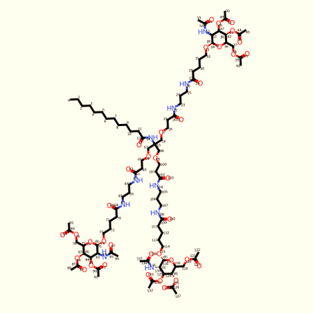 CCCCCCCCCCCCC(=O)NC(COCCC(=O)NCCCNC(=O)CCCCO[C@@H]1OC(COC(C)=O)[C@H](OC(C)=O)C(OC(C)=O)C1NC(C)=O)(COCCC(=O)NCCCNC(=O)CCCCO[C@@H]1OC(COC(C)=O)[C@H](OC(C)=O)C(OC(C)=O)C1NC(C)=O)COCCC(=O)NCCCNC(=O)CCCCO[C@@H]1OC(COC(C)=O)[C@H](OC(C)=O)C(OC(C)=O)[C@@H]1NC(C)=O